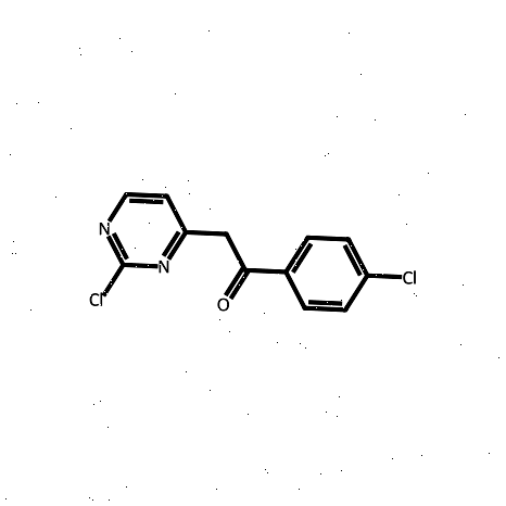 O=C(Cc1ccnc(Cl)n1)c1ccc(Cl)cc1